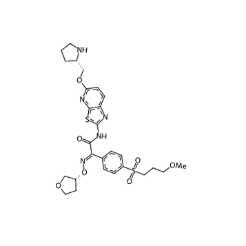 COCCCS(=O)(=O)c1ccc(/C(=N\O[C@@H]2CCOC2)C(=O)Nc2nc3ccc(OC[C@@H]4CCCN4)nc3s2)cc1